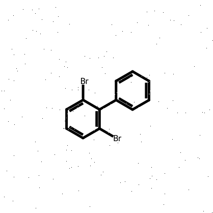 Brc1c[c]cc(Br)c1-c1ccccc1